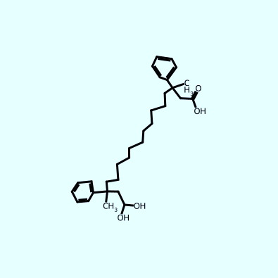 CC(CCCCCCCCCCCC(C)(CC(O)O)c1ccccc1)(CC(=O)O)c1ccccc1